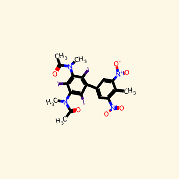 CC(=O)N(C)c1c(I)c(-c2cc([N+](=O)[O-])c(C)c([N+](=O)[O-])c2)c(I)c(N(C)C(C)=O)c1I